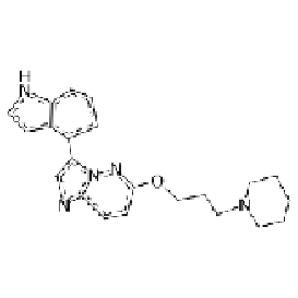 c1cc(-c2cnc3ccc(OCCCN4CCCCC4)nn23)c2cc[nH]c2c1